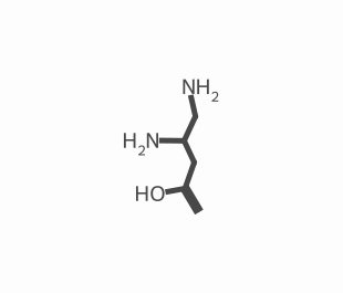 C=C(O)CC(N)CN